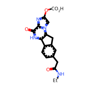 CCNC(=O)Cc1ccc2c(c1)Cc1c-2[nH]c(=O)c2nc(OC(=O)O)cn12